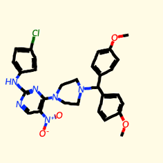 COc1ccc(C(c2ccc(OC)cc2)N2CCN(c3nc(Nc4ccc(Cl)cc4)ncc3[N+](=O)[O-])CC2)cc1